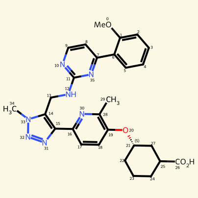 COc1ccccc1-c1ccnc(NCc2c(-c3ccc(O[C@H]4CCCC(C(=O)O)C4)c(C)n3)nnn2C)n1